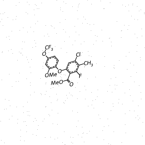 COC(=O)c1c(Oc2ccc(OC(F)(F)F)cc2OC)cc(Cl)c(C)c1F